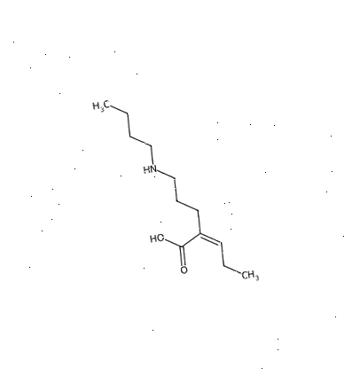 CCC=C(CCCNCCCC)C(=O)O